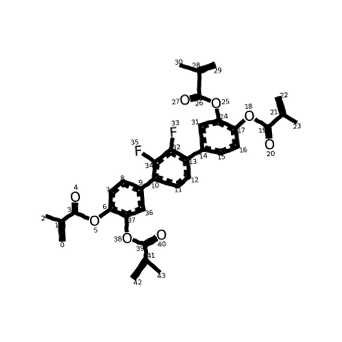 C=C(C)C(=O)Oc1ccc(-c2ccc(-c3ccc(OC(=O)C(=C)C)c(OC(=O)C(=C)C)c3)c(F)c2F)cc1OC(=O)C(=C)C